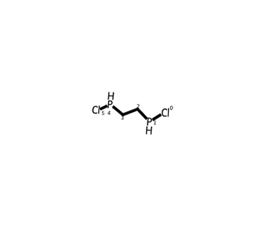 ClPCCPCl